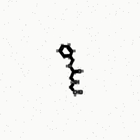 O=CCNCC(=O)OCc1ccccc1